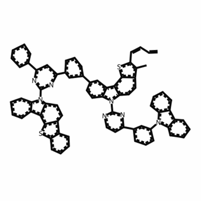 C=C/C=C\c1sc2c(ccc3c2c2cc(-c4cccc(-c5cc(-c6ccccc6)nc(-n6c7ccccc7c7c8sc9ccccc9c8ccc76)n5)c4)ccc2n3-c2nccc(-c3cccc(-n4c5ccccc5c5ccccc54)c3)n2)c1C